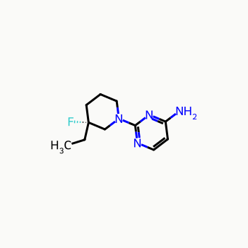 CC[C@@]1(F)CCCN(c2nccc(N)n2)C1